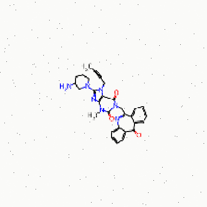 CC#CCn1c(N2CCCC(N)C2)nc2c1c(=O)n(Cc1nc3ccccc3c(=O)c3ccccc13)c(=O)n2C